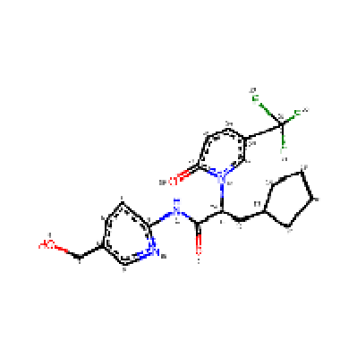 O=C(Nc1ccc(CO)cn1)[C@H](CC1CCCC1)n1cc(C(F)(F)F)ccc1=O